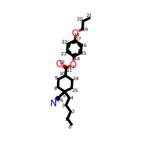 CCCCCC1(C#N)CCC(C(=O)Oc2ccc(OCCC)cc2)CC1